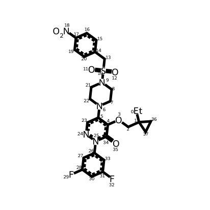 CCC1(COc2c(N3CCN(S(=O)(=O)Cc4ccc([N+](=O)[O-])cc4)CC3)cnn(-c3cc(F)cc(F)c3)c2=O)CC1